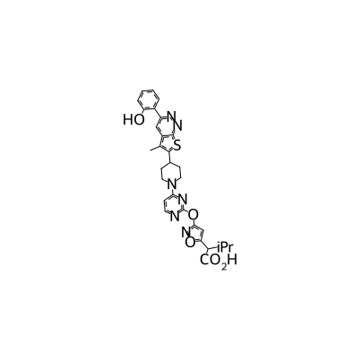 Cc1c(C2CCN(c3ccnc(Oc4cc(C(C(=O)O)C(C)C)on4)n3)CC2)sc2nnc(-c3ccccc3O)cc12